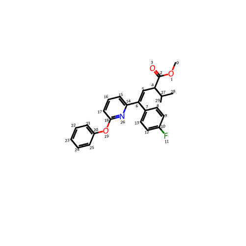 COC(=O)C(C=C(c1ccc(F)cc1)c1cccc(Oc2ccccc2)n1)C(C)C